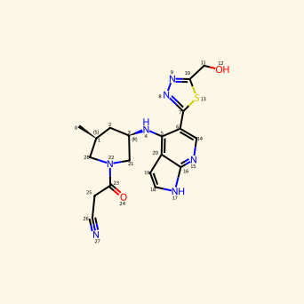 C[C@H]1C[C@@H](Nc2c(-c3nnc(CO)s3)cnc3[nH]ccc23)CN(C(=O)CC#N)C1